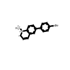 CCCCc1ccc(-c2ccc3c(c2)C=CCN3C)cc1